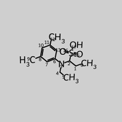 CCC(N(CC)c1cc(C)cc(C)c1)S(=O)(=O)O